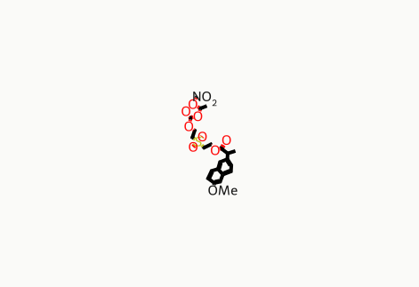 COc1ccc2cc(C(C)C(=O)OCCS(=O)(=O)CCOC(=O)OC(C)O[N+](=O)[O-])ccc2c1